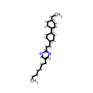 CCCCCCCc1cnc(CCC2CCC(C3CCC(CC)CC3)CC2)nc1